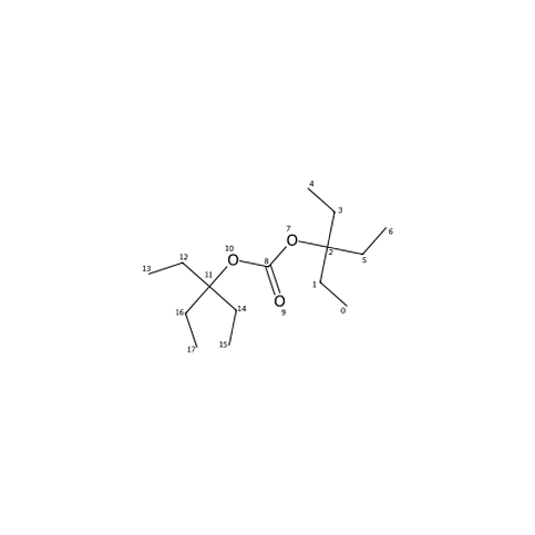 CCC(CC)(CC)OC(=O)OC(CC)(CC)CC